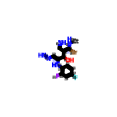 CCN/C(Br)=C(\C=N)C(O)/C(=C/N=N)Nc1ccc(F)cc1I